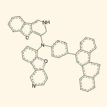 C1=c2c(oc3ccccc23)=C(N(c2ccc(-c3cc4c5ccccc5ccc4c4ccccc34)cc2)c2cccc3c2oc2ccncc23)CN1